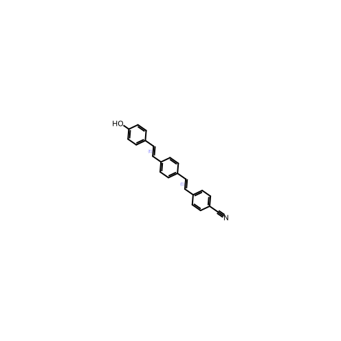 N#Cc1ccc(/C=C/c2ccc(/C=C/c3ccc(O)cc3)cc2)cc1